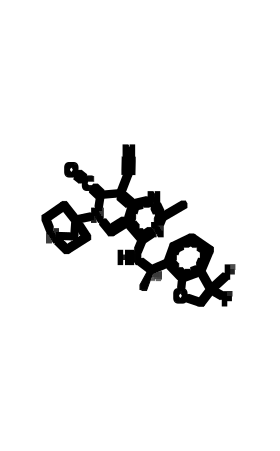 Cc1nc(N[C@H](C)c2cccc3c2OCC3(F)F)c2c(n1)=C(C#N)C(=C=O)N(C13CCN(CC1)C3)C=2